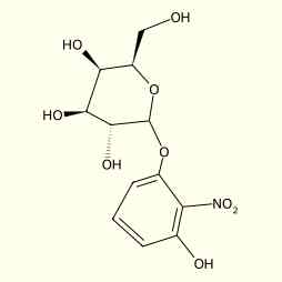 O=[N+]([O-])c1c(O)cccc1OC1O[C@H](CO)[C@H](O)[C@H](O)[C@H]1O